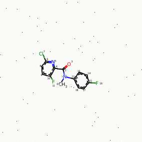 CN(C(=O)c1nc(Cl)ccc1F)c1ccc(F)cc1